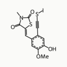 COc1cc(/C=C2\SC(=O)N(C)C2=O)c(C#CSI)cc1O